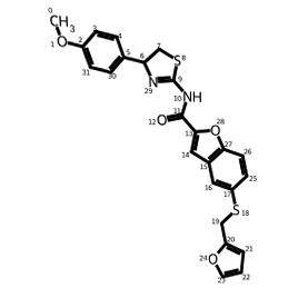 COc1ccc(C2CSC(NC(=O)c3cc4cc(SCc5ccco5)ccc4o3)=N2)cc1